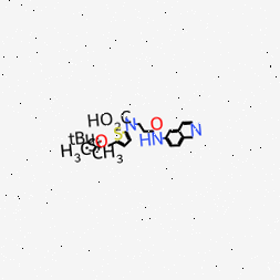 CC(C)(C)[Si](C)(C)OCc1ccc(N(CCC(=O)Nc2ccc3cnccc3c2)C(=O)O)s1